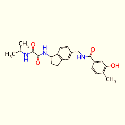 Cc1ccc(C(=O)NCc2ccc3c(c2)CCC3NC(=O)C(=O)NC(C)C)cc1O